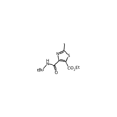 CCOC(=O)c1sc(C)nc1C(=O)NC(C)(C)C